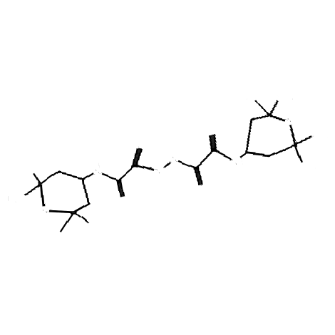 CC1(C)CC(NC(=O)C(=O)NNC(=O)C(=O)NC2CC(C)(C)NC(C)(C)C2)CC(C)(C)N1